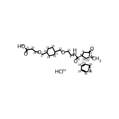 CN1C(=O)C[C@H](C(=O)NCCOCC2CCC(COCCC(=O)O)CC2)[C@H]1c1cccnc1.Cl